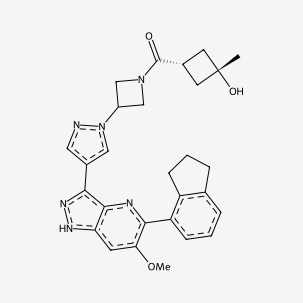 COc1cc2[nH]nc(-c3cnn(C4CN(C(=O)[C@H]5C[C@@](C)(O)C5)C4)c3)c2nc1-c1cccc2c1CCC2